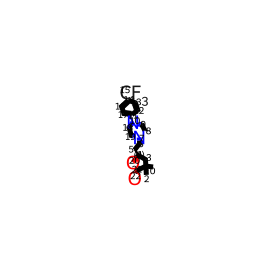 CC1(C)C[C@H](CCN2CCN(c3ccc(C(F)(F)F)cc3)CC2)OC1=O